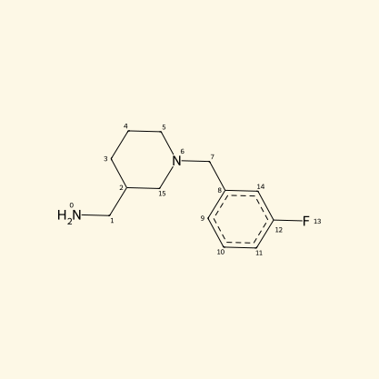 NCC1CCCN(Cc2cccc(F)c2)C1